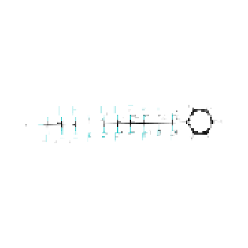 FC(F)(F)C(F)(F)C(F)(F)C(F)(F)C(F)(F)C(F)(F)C(F)(F)C(F)(F)C(F)(F)C(F)(F)c1c[c]c[c]c1